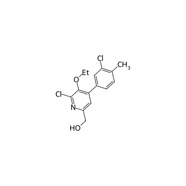 CCOc1c(-c2ccc(C)c(Cl)c2)cc(CO)nc1Cl